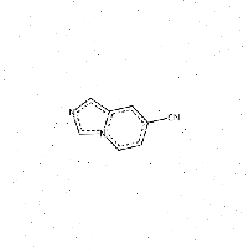 N#Cc1ccn2cncc2c1